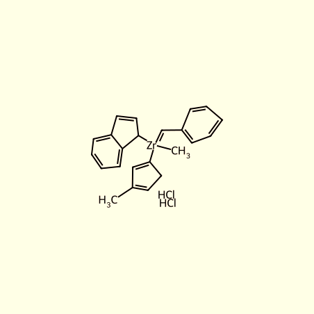 CC1=CC[C]([Zr]([CH3])(=[CH]c2ccccc2)[CH]2C=Cc3ccccc32)=C1.Cl.Cl